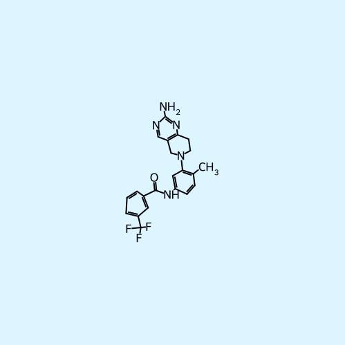 Cc1ccc(NC(=O)c2cccc(C(F)(F)F)c2)cc1N1CCc2nc(N)ncc2C1